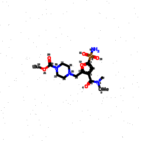 CON(C)C(=O)c1cc(S(N)(=O)=O)oc1CN1CCN(C(=O)OC(C)(C)C)CC1